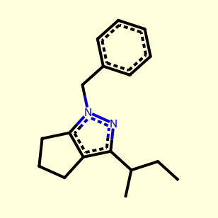 CCC(C)c1nn(Cc2ccccc2)c2c1CCC2